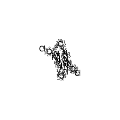 Clc1ccc(-c2nsc(N3CCN(CCc4ccccc4Cl)CC3)n2)cc1.Fc1ccccc1CCN1CCN(c2nc(-c3ccc(Cl)cc3)ns2)CC1